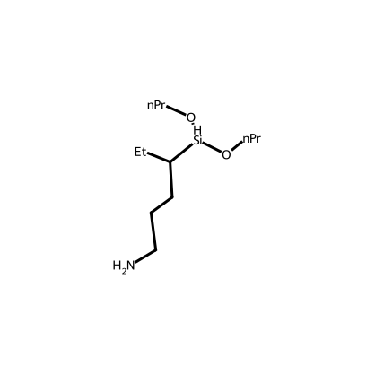 CCCO[SiH](OCCC)C(CC)CCCN